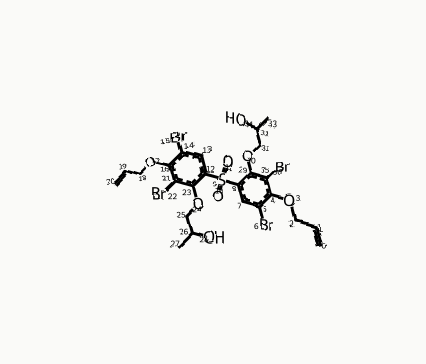 C=CCOc1c(Br)cc(S(=O)(=O)c2cc(Br)c(OCC=C)c(Br)c2OCC(C)O)c(OCC(C)O)c1Br